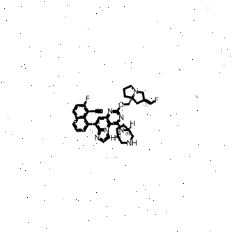 C#Cc1c(F)ccc2cccc(-c3cc4nc(OC[C@@]56CCCN5C/C(=C\F)C6)nc(N5[C@@H]6CC[C@H]5CNC6)c4n4ccnc34)c12